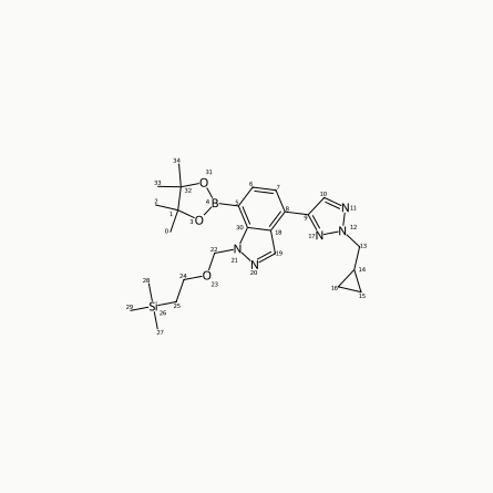 CC1(C)OB(c2ccc(-c3cnn(CC4CC4)n3)c3cnn(COCC[Si](C)(C)C)c23)OC1(C)C